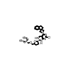 CC(C)(C)OP(COCC1CC[C@@H](CNc2nc(Cl)nc(N3CC4(CCc5ccccc54)C3)c2C=N)O1)OC(C)(C)C